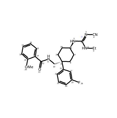 CCN/C(=N\C#N)N[C@H]1CC[C@@](CNC(=O)c2ccccc2OC)(c2cccc(F)c2)CC1